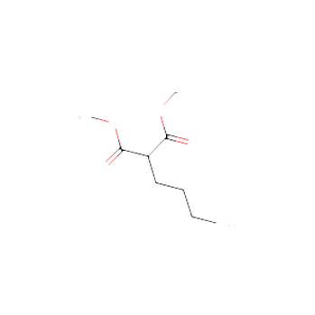 CC(C)OC(=O)C(CCCC(C)(C)C)C(=O)OC(C)C